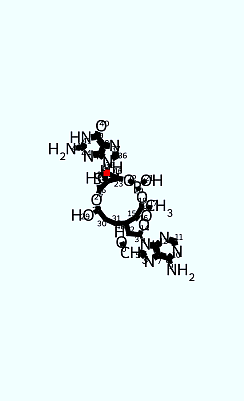 CO[C@H]1[C@H](n2cnc3c(N)ncnc32)O[C@]2(OC)COP(O)O[C@@H]3[C@H](O)C(OC(O)CC[C@@H]12)S[C@H]3n1cnc2c(=O)[nH]c(N)nc21